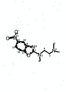 CN(C)CCN(C)c1nc2cc([N+](=O)[O-])ccc2o1